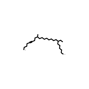 [CH2]CCCC#CCCC(C)CCCCCCCCC(CC)CCCCC[CH2]